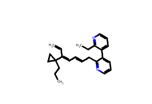 C=C/C(=C\C=C\Cc1ncccc1-c1cccnc1CC)C1(CCC)CC1